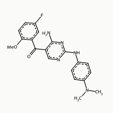 COc1ccc(F)cc1C(=O)c1cnc(Nc2ccc(N(C)C)cc2)nc1N